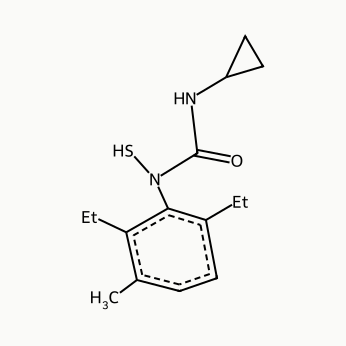 CCc1ccc(C)c(CC)c1N(S)C(=O)NC1CC1